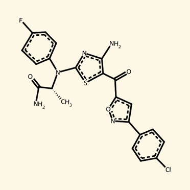 C[C@H](C(N)=O)N(c1ccc(F)cc1)c1nc(N)c(C(=O)c2cc(-c3ccc(Cl)cc3)no2)s1